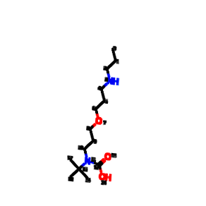 CCCNCCCOCCCN(C(=O)O)C(C)(C)C